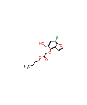 CCCCOC(=O)COc1c(CO)cc(Br)c2occc12